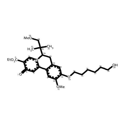 CCOC(=O)c1cn2c(cc1=O)-c1cc(OC)c(OCCCCCCO)cc1CC2C(C)(C)COC